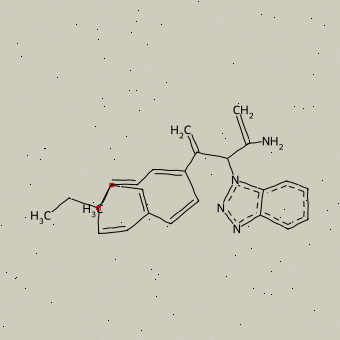 C=C(N)C(C(=C)C(/C=C\C1=CCC(CC)C=C1)=C/C=C/C)n1nnc2ccccc21